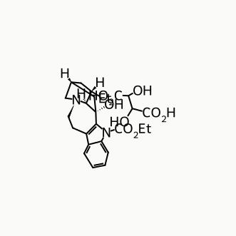 CCOC(=O)n1c2c(c3ccccc31)CC[N@@]1C[C@@H]3C[C@H](CC)[C@H]1[C@@]2(O)C3.O=C(O)C(O)C(O)C(=O)O